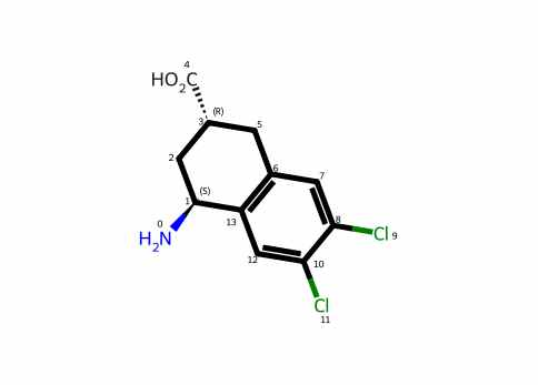 N[C@H]1C[C@H](C(=O)O)Cc2cc(Cl)c(Cl)cc21